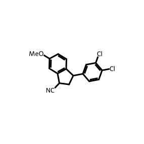 COc1ccc2c(c1)C(C#N)CC2c1ccc(Cl)c(Cl)c1